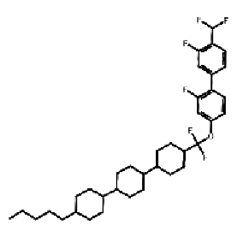 CCCCCC1CCC(C2CCC(C3CCC(C(F)(F)Oc4ccc(-c5ccc(C(F)F)c(F)c5)c(F)c4)CC3)CC2)CC1